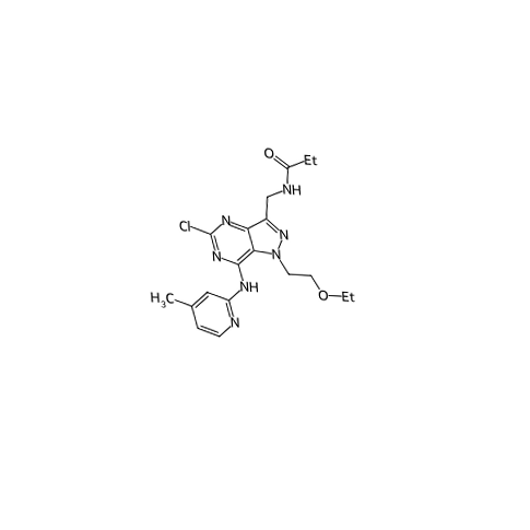 CCOCCn1nc(CNC(=O)CC)c2nc(Cl)nc(Nc3cc(C)ccn3)c21